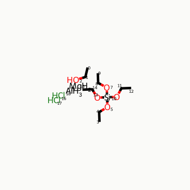 CCO.CCO[Si](OCC)(OCC)OCC.Cl.Cl.[AlH3].[MgH2]